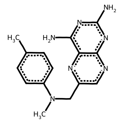 Cc1ccc(N(C)Cc2cnc3nc(N)nc(N)c3n2)cc1